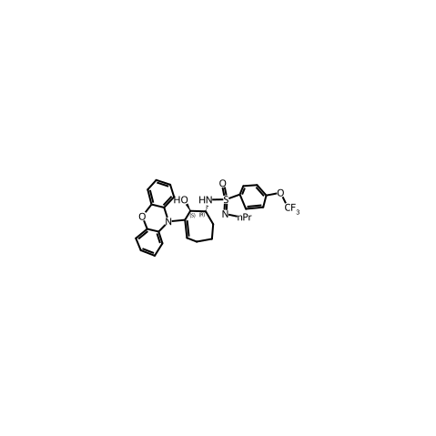 CCCN=S(=O)(N[C@@H]1CCCC=C(N2c3ccccc3Oc3ccccc32)[C@H]1O)c1ccc(OC(F)(F)F)cc1